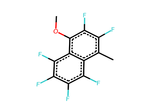 COc1c(F)c(F)c(C)c2c(F)c(F)c(F)c(F)c12